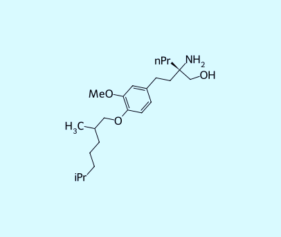 CCC[C@@](N)(CO)CCc1ccc(OCC(C)CCCC(C)C)c(OC)c1